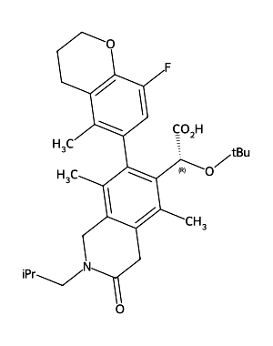 Cc1c(-c2c(C)c3c(c(C)c2[C@@H](OC(C)(C)C)C(=O)O)CC(=O)N(CC(C)C)C3)cc(F)c2c1CCCO2